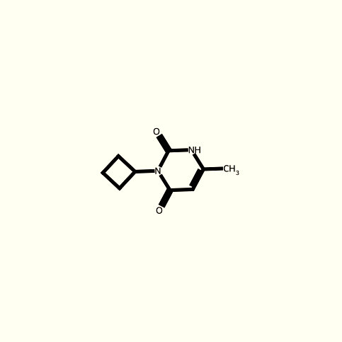 Cc1cc(=O)n(C2CCC2)c(=O)[nH]1